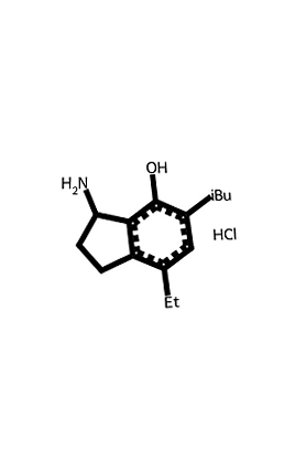 CCc1cc(C(C)CC)c(O)c2c1CCC2N.Cl